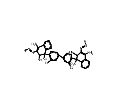 [H]/N=N/C1=C(N)c2ccccc2C(c2ccc(-c3ccc(C4(S(=O)(=O)O)c5ccccc5C(N)=C(/N=N/[H])C4N)c(CC)c3)cc2CC)(S(=O)(=O)O)C1N